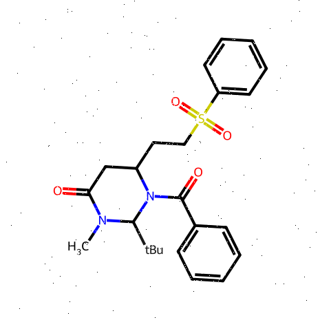 CN1C(=O)CC(CCS(=O)(=O)c2ccccc2)N(C(=O)c2ccccc2)C1C(C)(C)C